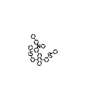 C1=C(c2cccc(-c3c4ccccc4c(-c4cccc(-c5ccc(-c6ccccc6)s5)c4)c4ccc(-c5cccc(N(c6ccccc6)c6ccc(-c7ccccc7)cc6)c5)cc34)c2)SC(c2ccccc2)C1